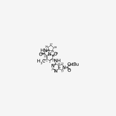 Cc1cc(Nc2ncnc3c2CN(C(=O)OC(C)(C)C)C3)c(=O)n2c1C(=O)NC21CCCC1